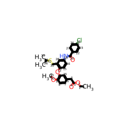 CCOC(=O)Cc1ccc(OC)c(Oc2ccc(NC(=O)c3ccc(Cl)cc3)cc2CSC(C)C)c1